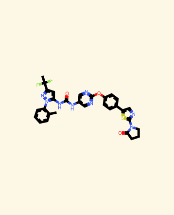 Cc1ccccc1-n1nc(C(C)(F)F)cc1NC(=O)Nc1cnc(Oc2ccc(-c3cnc(N4CCCC4=O)s3)cc2)nc1